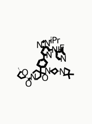 CC(C)n1cnc2cc(-c3ccc4c(c3)N([C@H]3C[C@@H](N5CCC(C)(C)C5)C3)C(=O)C43CCN(C(=O)[C@@H]4CC[C@H](C)O4)CC3)nc(Nc3ccncc3F)c21